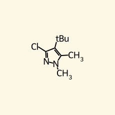 Cc1c(C(C)(C)C)c(Cl)nn1C